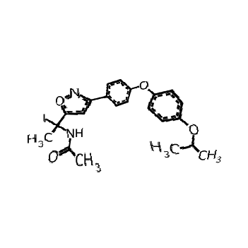 CC(=O)NC(C)(I)c1cc(-c2ccc(Oc3ccc(OC(C)C)cc3)cc2)no1